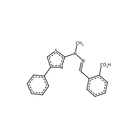 CN(/N=C/c1ccccc1C(=O)O)c1nc(-c2ccccc2)cs1